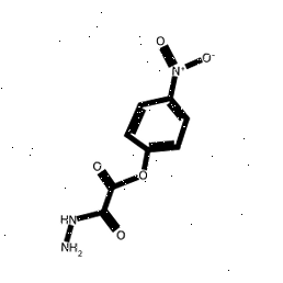 NNC(=O)C(=O)Oc1ccc([N+](=O)[O-])cc1